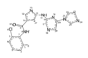 Cc1cccc(Cl)c1NC(=O)c1cnc(Nc2cncc(-n3ccnc3)n2)s1